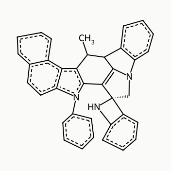 CC1c2c(n(-c3ccccc3)c3ccc4ccccc4c23)C2=C3C1c1ccccc1N3C[C@]21Nc2ccccc21